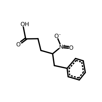 O=C(O)CCC(Cc1ccccc1)[N+](=O)[O-]